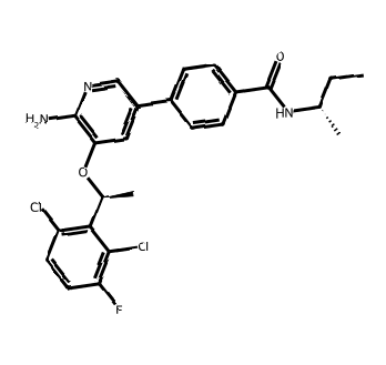 CC[C@H](C)NC(=O)c1ccc(-c2cnc(N)c(O[C@@H](C)c3c(Cl)ccc(F)c3Cl)c2)cc1